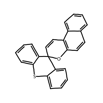 C1=CC2(Oc3ccc4ccccc4c31)c1ccccc1Sc1ccccc12